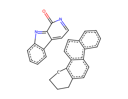 O=C1N=CC=C2C1=Nc1ccccc12.c1ccc2c(c1)ccc1c3c(ccc12)CCCC3